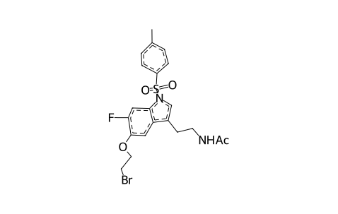 CC(=O)NCCc1cn(S(=O)(=O)c2ccc(C)cc2)c2cc(F)c(OCCBr)cc12